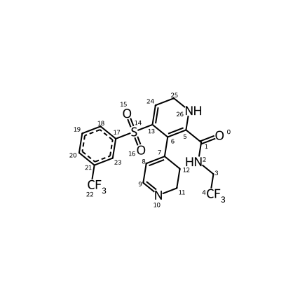 O=C(NCC(F)(F)F)C1=C(C2=CC=NCC2)C(S(=O)(=O)c2cccc(C(F)(F)F)c2)=CCN1